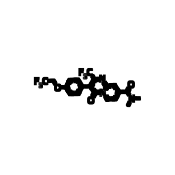 CN(C)C(=O)c1ccn2c(=O)c(-c3ccc(OCC(F)(F)F)cc3)c(C(F)(F)F)nc2c1